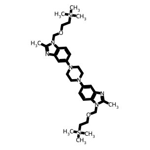 Cc1nc2cc(N3CCN(c4ccc5c(c4)nc(C)n5COCC[Si](C)(C)C)CC3)ccc2n1COCC[Si](C)(C)C